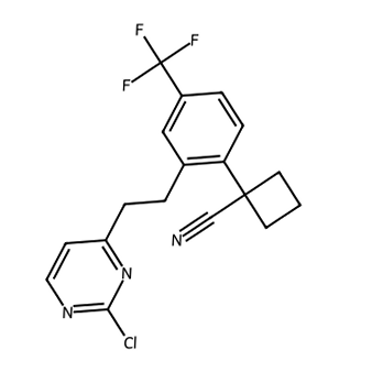 N#CC1(c2ccc(C(F)(F)F)cc2CCc2ccnc(Cl)n2)CCC1